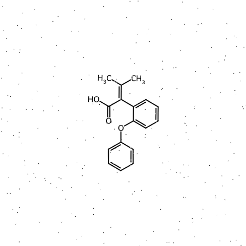 CC(C)=C(C(=O)O)c1ccccc1Oc1ccccc1